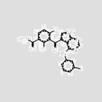 Cc1cccc(Nc2ncnc3[nH]cc(C(=O)c4c(F)ccc(C(N)=O)c4F)c23)c1